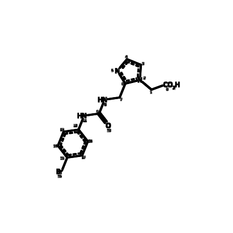 O=C(O)Cn1ccnc1CNC(=O)Nc1ccc(Br)cc1